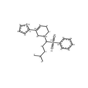 CC(C)CCC(N1CCC=C(c2cccs2)C1)S(=O)(=O)c1ccccc1